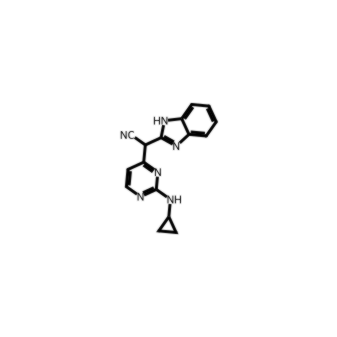 N#CC(c1ccnc(NC2CC2)n1)c1nc2ccccc2[nH]1